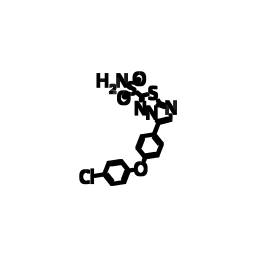 NS(=O)(=O)c1nn2c(-c3ccc(Oc4ccc(Cl)cc4)cc3)cnc2s1